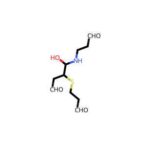 O=CCCNC(O)C(CC=O)SCCC=O